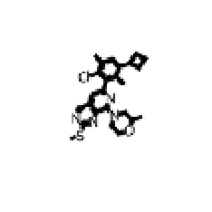 CSc1ncc2cc(-c3c(C)c(C4CCC4)cc(C)c3Cl)nc(N3CCOC(C)C3)c2n1